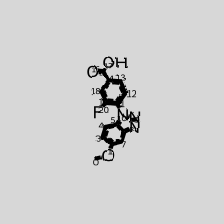 COc1ccc2c(c1)nnn2-c1ccc(C(=O)O)cc1F